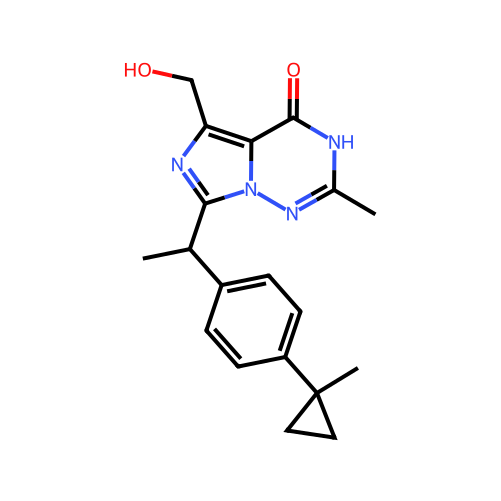 Cc1nn2c(C(C)c3ccc(C4(C)CC4)cc3)nc(CO)c2c(=O)[nH]1